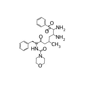 CC(CC(=O)[C@H](Cc1ccccc1)NC(=O)N1CCOCC1)CC(N)C(N)S(=O)(=O)c1ccccc1